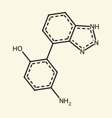 Nc1ccc(O)c(-c2cccc3[nH]nnc23)c1